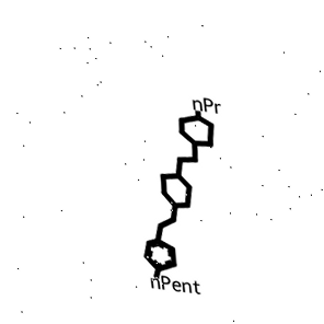 CCCCCc1ccc(CCC2CCC(CCC3CCC(CCC)CC3)CC2)cc1